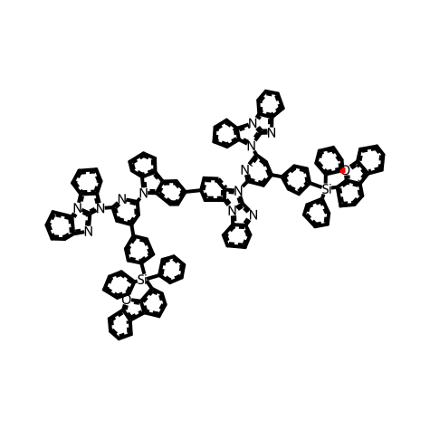 c1ccc([Si](c2ccccc2)(c2ccc(-c3cc(-n4c5ccccc5c5cc(-c6ccc7c(c6)n6c8ccccc8nc6n7-c6cc(-c7ccc([Si](c8ccccc8)(c8ccccc8)c8cccc9c8oc8ccccc89)cc7)cc(-n7c8ccccc8n8c9ccccc9nc78)n6)ccc54)nc(-n4c5ccccc5n5c6ccccc6nc45)c3)cc2)c2cccc3c2oc2ccccc23)cc1